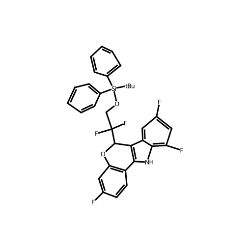 CC(C)(C)[Si](OCC(F)(F)C1Oc2cc(F)ccc2-c2[nH]c3c(F)cc(F)cc3c21)(c1ccccc1)c1ccccc1